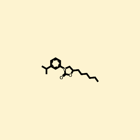 CCCCCCC1CN(c2cccc(C(C)C)c2)C(=O)O1